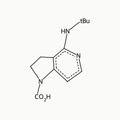 CC(C)(C)Nc1nccc2c1CCN2C(=O)O